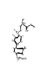 C=CC(=O)N(C)CCOc1ccc(-c2ccc(CCCCC)cc2Cl)cc1